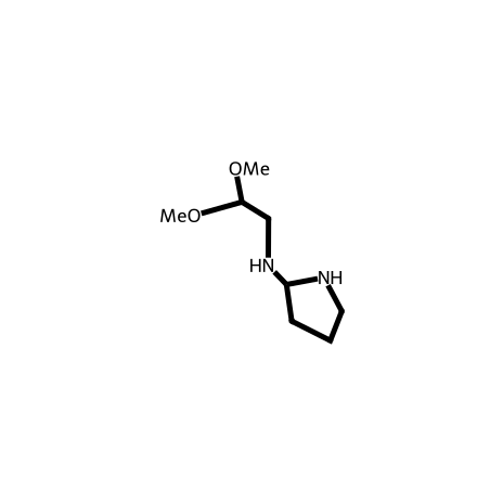 COC(CNC1CCCN1)OC